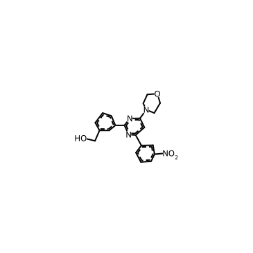 O=[N+]([O-])c1cccc(-c2cc(N3CCOCC3)nc(-c3cccc(CO)c3)n2)c1